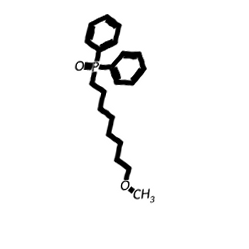 COCCCCCCCCP(=O)(c1ccccc1)c1ccccc1